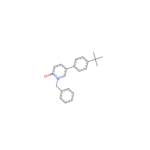 CC(C)(C)c1ccc(-c2ccc(=O)n(Cc3ccccc3)c2)cc1